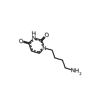 NCCCCn1ccc(=O)[nH]c1=O